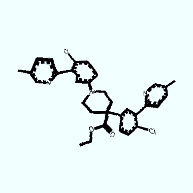 CCOC(=O)C1(c2ccc(Cl)c(-c3ccc(C)cn3)c2)CCN(c2ccc(Cl)c(-c3ccc(C)cn3)c2)CC1